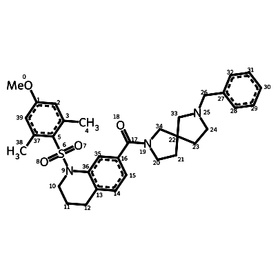 COc1cc(C)c(S(=O)(=O)N2CCCc3ccc(C(=O)N4CCC5(CCN(Cc6ccccc6)C5)C4)cc32)c(C)c1